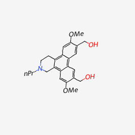 CCCN1CCc2c(c3cc(OC)c(CO)cc3c3cc(CO)c(OC)cc23)C1